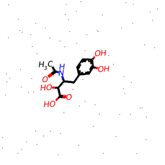 CC(=O)NC(Cc1ccc(O)c(O)c1)C(O)C(=O)O